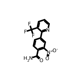 NC(=O)c1ccc(-c2ncccc2C(F)(F)F)cc1[N+](=O)[O-]